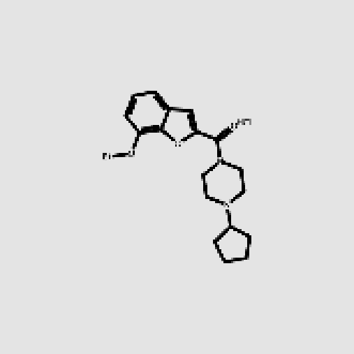 CCOc1cccc2cc(C(=O)N3CCN(C4CCCC4)CC3)oc12.Cl